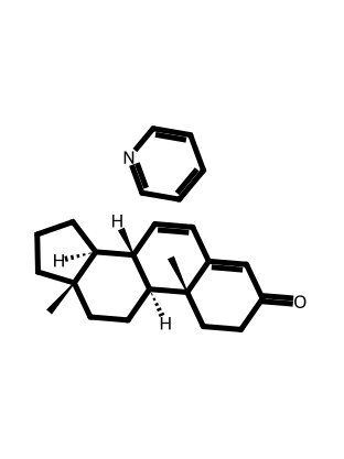 C[C@@]12CCC[C@H]1[C@@H]1C=CC3=CC(=O)CC[C@]3(C)[C@H]1CC2.c1ccncc1